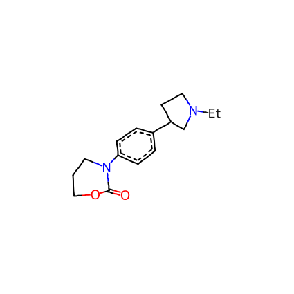 CCN1CCC(c2ccc(N3CCCOC3=O)cc2)C1